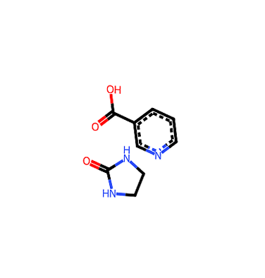 O=C(O)c1cccnc1.O=C1NCCN1